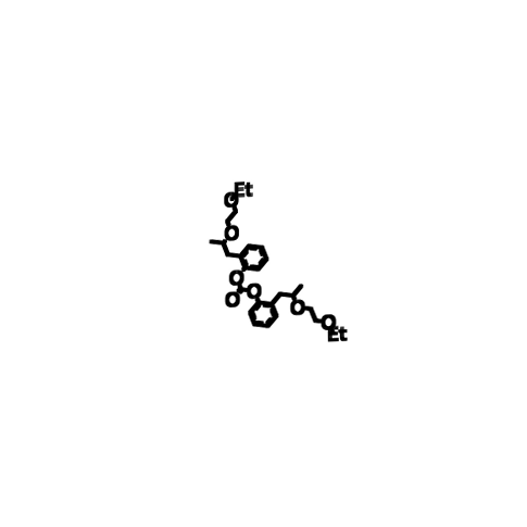 CCOCCOC(C)Cc1ccccc1OC(=O)Oc1ccccc1CC(C)OCCOCC